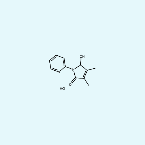 CC1=C(C)C(O)N(c2ccccn2)C1=O.Cl